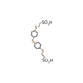 O=S(=O)(O)CCSc1ccc(Sc2ccc(SCCS(=O)(=O)O)cc2)cc1